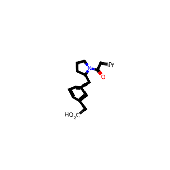 CC(C)CC(=O)N1CCCC1Cc1cccc(CC(=O)O)c1